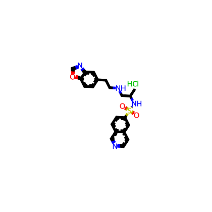 CC(CNCCc1ccc2ocnc2c1)NS(=O)(=O)c1ccc2cnccc2c1.Cl